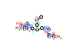 CC[C@@H](CNC(=O)OC)C(=O)N1CCC[C@H]1c1nc2cc([C@H]3CC[C@H](c4cc5nc([C@@H]6CCCN6C(=O)[C@@H](NC(=O)O)C(C)C)[nH]c5cc4F)N3c3cc(F)c(N4CCO[C@@H](c5ccccc5)C4)c(F)c3)c(F)cc2[nH]1